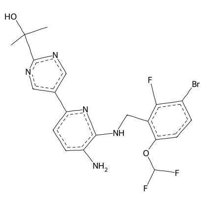 CC(C)(O)c1ncc(-c2ccc(N)c(NCc3c(OC(F)F)ccc(Br)c3F)n2)cn1